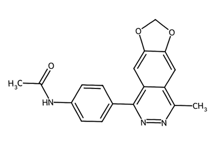 CC(=O)Nc1ccc(-c2nnc(C)c3cc4c(cc23)OCO4)cc1